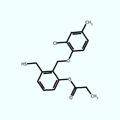 CCC(=O)Oc1cccc(CS)c1COc1ccc(C)cc1Cl